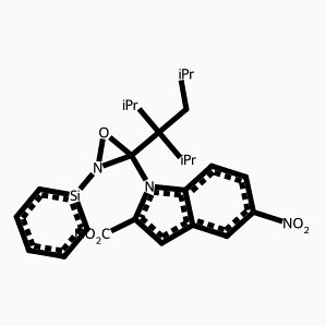 CC(C)CC(C(C)C)(C(C)C)C1(n2c(C(=O)O)cc3cc([N+](=O)[O-])ccc32)ON1[si]1ccccc1